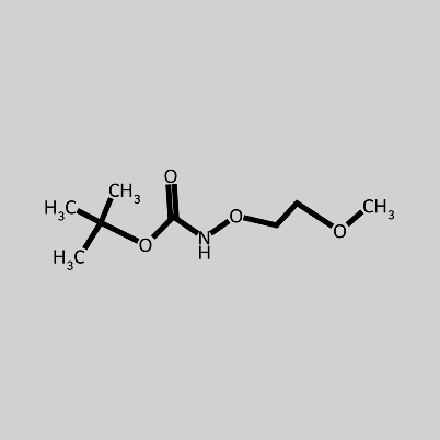 COCCONC(=O)OC(C)(C)C